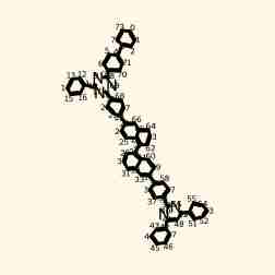 c1ccc(-c2ccc(-c3nc(-c4ccccc4)nc(-c4ccc(-c5ccc6c(-c7cccc8cc(-c9ccc(-c%10nc(-c%11ccccc%11)cc(-c%11ccccc%11)n%10)cc9)ccc78)cccc6c5)cc4)n3)cc2)cc1